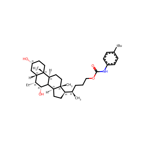 CC[C@H]1[C@@H](O)C2[C@@H]3CC[C@H]([C@H](C)CCCOC(=O)Nc4ccc(C(C)(C)C)cc4)[C@@]3(C)CC[C@@H]2[C@@]2(C)CC[C@@H](O)C[C@@H]12